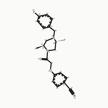 C[C@@H]1CN(C(=O)COc2ccc(C#N)cc2)[C@@H](C)CN1Cc1ccc(F)cc1